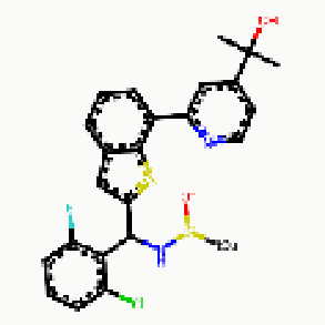 CC(C)(O)c1ccnc(-c2cccc3cc(C(N[S+]([O-])C(C)(C)C)c4c(F)cccc4Cl)sc23)c1